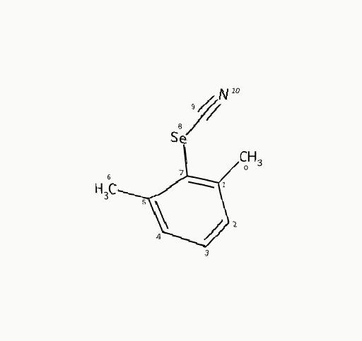 Cc1cccc(C)c1[Se]C#N